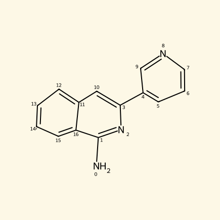 Nc1nc(-c2cccnc2)cc2cc[c]cc12